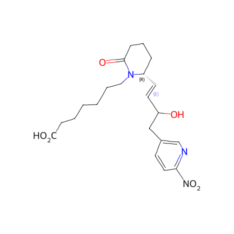 O=C(O)CCCCCCN1C(=O)CCC[C@@H]1/C=C/C(O)Cc1ccc([N+](=O)[O-])nc1